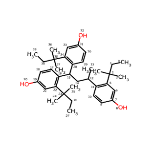 CCC(C)(C)c1cc(O)ccc1C(C)CC(c1ccc(O)cc1C(C)(C)CC)c1ccc(O)cc1C(C)(C)CC